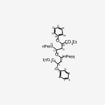 CCCCCC(CC(Oc1ccccc1)C(=O)OCC)OC(CCCCC)CC(Oc1ccccc1)C(=O)OCC